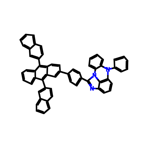 c1ccc(N2c3ccccc3-n3c(-c4ccc(-c5ccc6c(-c7ccc8ccccc8c7)c7ccccc7c(-c7ccc8ccccc8c7)c6c5)cc4)nc4cccc2c43)cc1